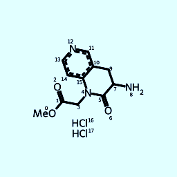 COC(=O)CN1C(=O)C(N)Cc2cnccc21.Cl.Cl